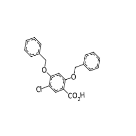 O=C(O)c1cc(Cl)c(OCc2ccccc2)cc1OCc1ccccc1